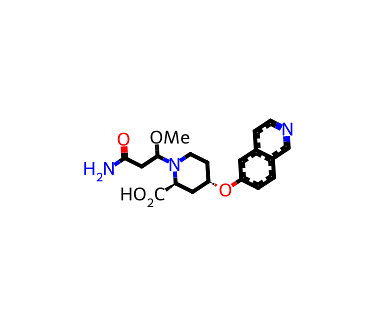 COC(CC(N)=O)N1CC[C@H](Oc2ccc3cnccc3c2)C[C@H]1C(=O)O